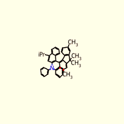 Cc1ccc2c(c1)C(C)(C)c1cc(C)cc(-c3c(N(c4ccccc4)c4ccccc4)cc(C(C)C)c4ccccc34)c1-2